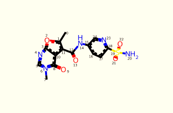 Cc1oc2ncn(C)c(=O)c2c1C(=O)Nc1ccc(S(N)(=O)=O)nc1